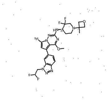 [2H]c1cc(-c2ccc3nnn(CC(F)F)c3c2)c2c(OC)nc(N[C@@H]3CCN(C4(C)COC4)CC3(F)F)nn12